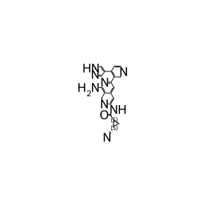 N#C[C@H]1C[C@@H]1C(=O)Nc1cc2cc(-c3cnccc3-c3cn[nH]c3)nc(N)c2cn1